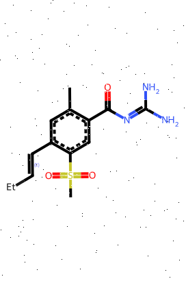 CC/C=C/c1cc(C)c(C(=O)N=C(N)N)cc1S(C)(=O)=O